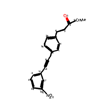 COC(=O)CCc1ccc(C#Cc2cccc([N+](=O)[O-])c2)cc1